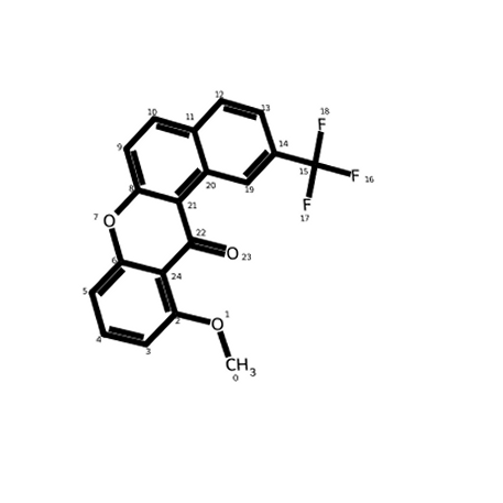 COc1cccc2oc3ccc4ccc(C(F)(F)F)cc4c3c(=O)c12